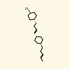 CC=CCC[C@H]1CC[C@H](C=CCC[C@H]2CC[C@H](CC)CC2)CC1